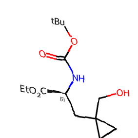 CCOC(=O)[C@H](CC1(CO)CC1)NC(=O)OC(C)(C)C